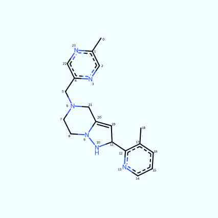 Cc1cnc(CN2CCN3NC(c4ncccc4C)C=C3C2)cn1